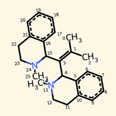 CC(C)=C(C1c2ccccc2CCN1C)C1c2ccccc2CCN1C